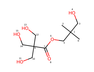 CC(C)(CO)COC(=O)C(CO)(CO)CO